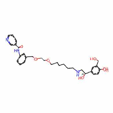 O=C(Nc1cccc(COCCOCCCCCCNC[C@H](O)c2ccc(O)c(CO)c2)c1)c1cccnc1